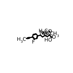 CC#Cc1ccc(C2=NOC(CC(C)(C(=O)O)S(C)(=O)=O)C2)cc1F